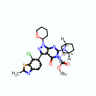 Cc1nc2ccc(-c3nn(C4CCCCO4)c4nc(N5[C@H]6CC[C@@H]5[C@H](NC(=O)OC(C)(C)C)C6)n(C)c(=O)c34)c(Cl)c2s1